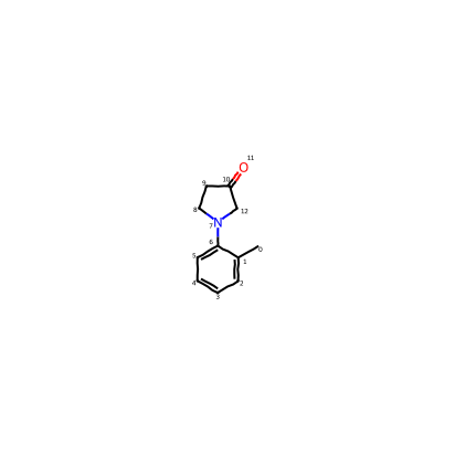 Cc1ccccc1N1CCC(=O)C1